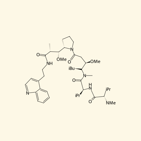 CC[C@H](C)C([C@@H](CC(=O)N1CCC[C@H]1[C@H](OC)[C@@H](C)C(=O)NCCc1ccnc2ccccc12)OC)N(C)C(=O)[C@@H](NC(=O)[C@@H](NC)C(C)C)C(C)C